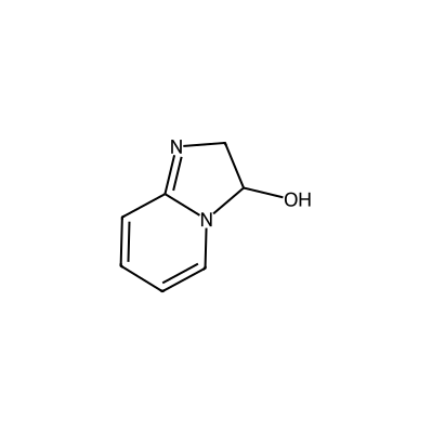 OC1CN=C2C=CC=CN21